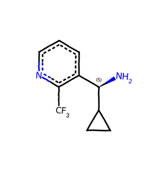 N[C@H](c1cccnc1C(F)(F)F)C1CC1